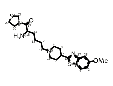 COc1ccc2sc(C3CCN(CCCCC(N)C(=O)N4CCSC4)CC3)nc2c1